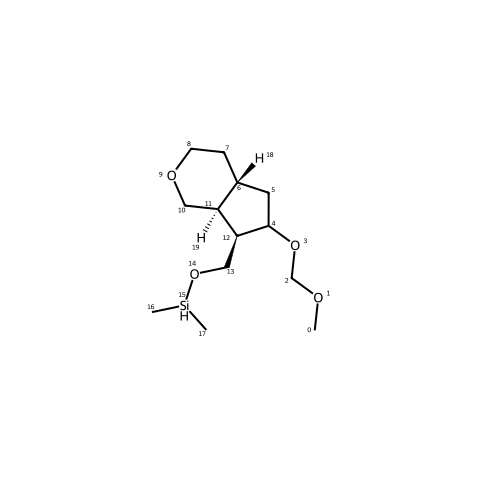 COCOC1C[C@H]2CCOC[C@@H]2[C@@H]1CO[SiH](C)C